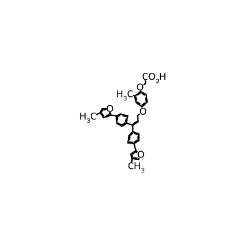 Cc1coc(-c2ccc(C(=CCOc3ccc(OCC(=O)O)c(C)c3)c3ccc(-c4cc(C)co4)cc3)cc2)c1